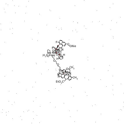 CCOC(=O)CC(c1ccc(C)c(CN2C[C@@H](C)Oc3cc(OCCOCCOCCNC(=O)[C@]4(COc5nc(N6C[C@H]7CC[C@@H](C6)N7C(=O)OC(C)(C)C)c6cnc(-c7cc(OCOC)cc8ccc(F)c(C#C[Si](C(C)C)(C(C)C)C(C)C)c78)c(F)c6n5)CCCN4C)ccc3S2(=O)=O)c1)c1cc(OC)c2c(c1)nnn2C